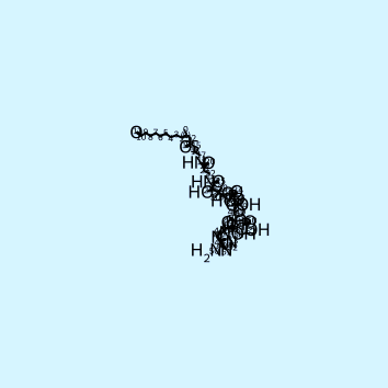 C[C@H](CCCCCCCCC=O)CC(=O)SCCNC(=O)CCNC(=O)C(O)C(C)(C)COP(=O)(O)OP(=O)(O)OC[C@H]1O[C@@H](n2cnc3c(N)ncnc32)[C@H](O)[C@@H]1OP(=O)(O)O